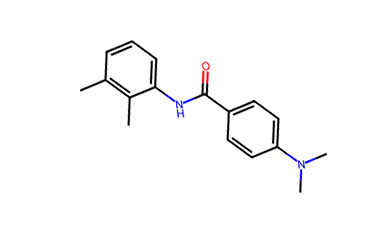 Cc1cccc(NC(=O)c2ccc(N(C)C)cc2)c1C